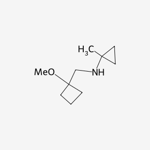 COC1(CNC2(C)CC2)CCC1